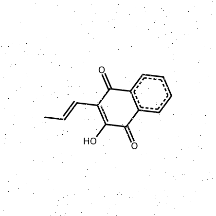 C/C=C/C1=C(O)C(=O)c2ccccc2C1=O